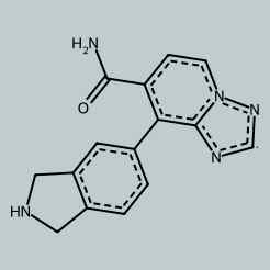 NC(=O)c1ccn2n[c]nc2c1-c1ccc2c(c1)CNC2